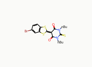 CCCCN1C(=O)C(=C2Sc3ccc(Br)cc3S2)C(=O)N(CCCC)C1=S